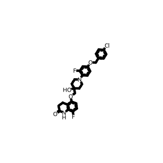 O=C1CCc2c(OCC3(O)CCN(c4ccc(OCc5ccc(Cl)cc5)cc4F)CC3)ccc(F)c2N1